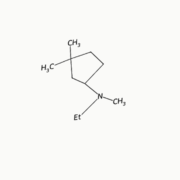 CCN(C)C1CCC(C)(C)C1